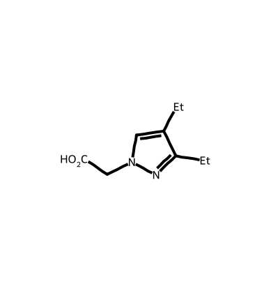 CCc1cn(CC(=O)O)nc1CC